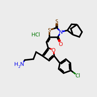 Cl.NCCCc1cc(-c2ccc(Cl)cc2)oc1/C=C1/SC(=S)N(C2CC3CCC2C3)C1=O